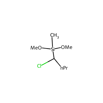 CCCC(Cl)[Si](C)(OC)OC